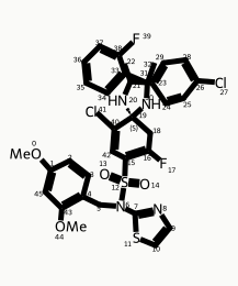 COc1ccc(CN(c2nccs2)S(=O)(=O)C2=C(F)C[C@](NC(C)c3ccc(Cl)cc3)(NC(C)c3ccccc3F)C(Cl)=C2)c(OC)c1